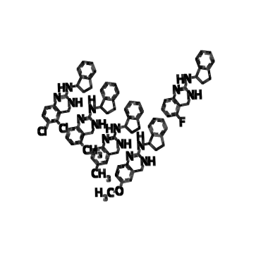 COc1ccc2c(c1)CNC(NC1CCc3ccccc31)=N2.Cc1ccc2c(c1)CNC(NC1CCc3ccccc31)=N2.Cc1cccc2c1CNC(NC1CCc3ccccc31)=N2.Clc1ccc2c(c1Cl)CNC(NC1CCc3ccccc31)=N2.Fc1cccc2c1CNC(NC1CCc3ccccc31)=N2